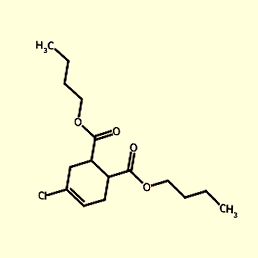 CCCCOC(=O)C1CC=C(Cl)CC1C(=O)OCCCC